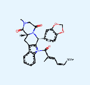 CN/C=C\C=C(/C)C(=O)n1c2c(c3ccccc31)C[C@@H]1C(=O)N(C)CC(=O)N1[C@@H]2c1ccc2c(c1)OCO2